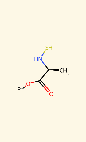 CC(C)OC(=O)[C@H](C)NS